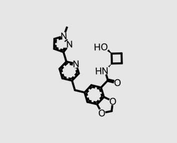 Cn1ccc(-c2ccc(Cc3cc4c(c(C(=O)N[C@H]5CC[C@@H]5O)c3)OCO4)cn2)n1